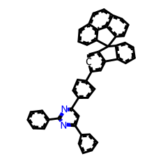 c1ccc(-c2cc(-c3ccc(-c4ccc5c(c4)-c4ccccc4C54c5cccc6ccc7cccc4c7c56)cc3)nc(-c3ccccc3)n2)cc1